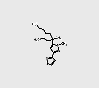 CCCCCC(C)(CCC)c1cc(-c2ccsn2)nn1C